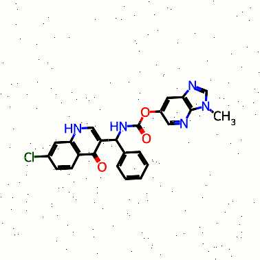 Cn1cnc2cc(OC(=O)NC(c3ccccc3)c3c[nH]c4cc(Cl)ccc4c3=O)cnc21